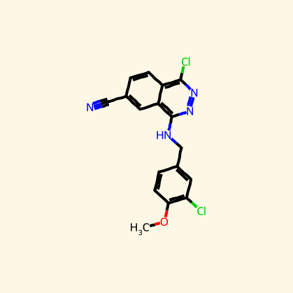 COc1ccc(CNc2nnc(Cl)c3ccc(C#N)cc23)cc1Cl